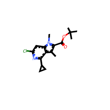 Cc1c(C(=O)OC(C)(C)C)n(C)c2cc(Cl)nc(C3CC3)c12